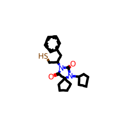 O=C1N(C(CS)Cc2ccccc2)C(=O)C2(CCCC2)N1C1CCCC1